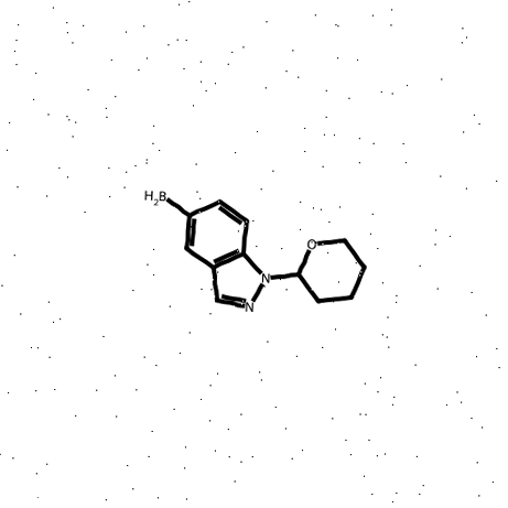 Bc1ccc2c(cnn2C2CCCCO2)c1